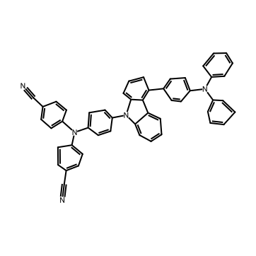 N#Cc1ccc(N(c2ccc(C#N)cc2)c2ccc(-n3c4ccccc4c4c(-c5ccc(N(c6ccccc6)c6ccccc6)cc5)cccc43)cc2)cc1